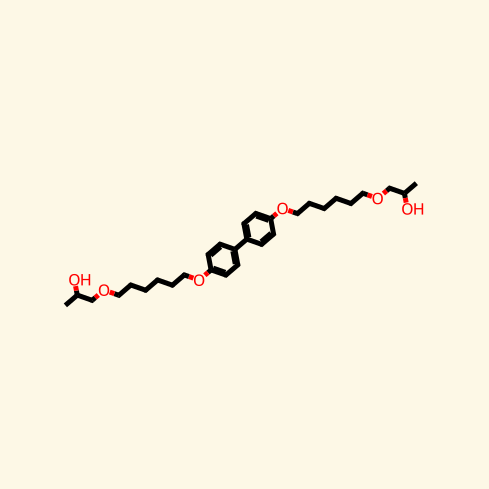 CC(O)COCCCCCCOc1ccc(-c2ccc(OCCCCCCOCC(C)O)cc2)cc1